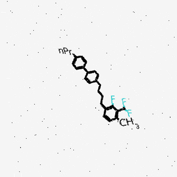 CCCc1ccc(-c2ccc(CCCCc3ccc(C)c(C(F)F)c3F)cc2)cc1